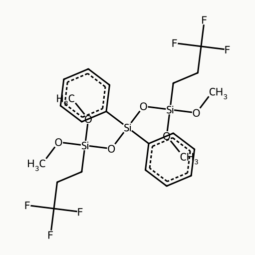 CO[Si](CCC(F)(F)F)(OC)O[Si](O[Si](CCC(F)(F)F)(OC)OC)(c1ccccc1)c1ccccc1